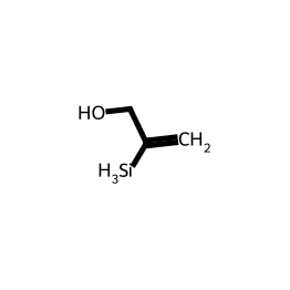 C=C([SiH3])CO